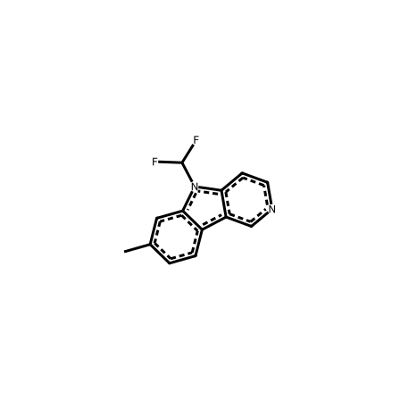 Cc1ccc2c3cnccc3n(C(F)F)c2c1